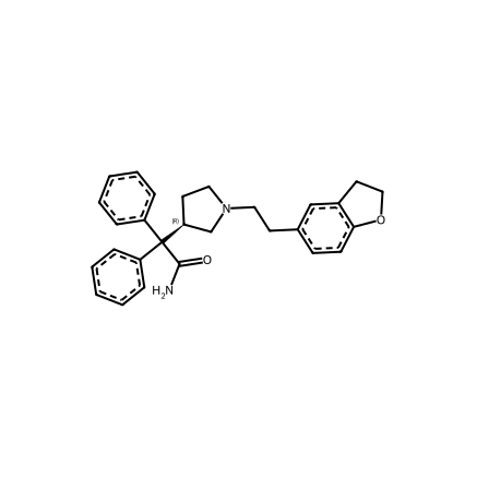 NC(=O)C(c1ccccc1)(c1ccccc1)[C@H]1CCN(CCc2ccc3c(c2)CCO3)C1